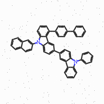 c1ccc(-c2ccc(-c3cccc4c3c3cc(-c5ccc6c(c5)c5ccccc5n6-c5ccccc5)ccc3n4-c3ccc4ccccc4c3)cc2)cc1